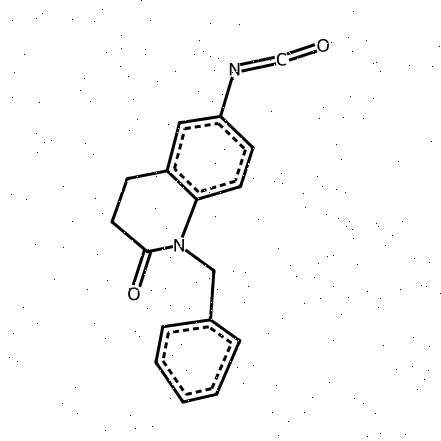 O=C=Nc1ccc2c(c1)CCC(=O)N2Cc1ccccc1